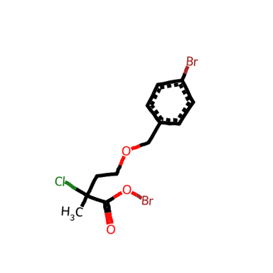 CC(Cl)(CCOCc1ccc(Br)cc1)C(=O)OBr